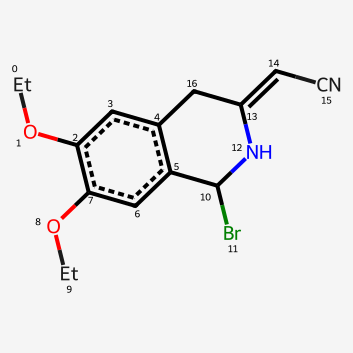 CCOc1cc2c(cc1OCC)C(Br)NC(=CC#N)C2